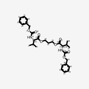 CC(C)[C@H](NC(=O)OCc1ccccc1)C(=O)OC[CH]COC(=O)[C@@H](NC(=O)OCc1ccccc1)C(C)C